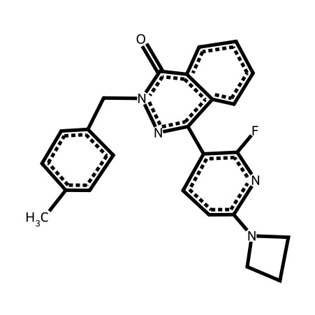 Cc1ccc(Cn2nc(-c3ccc(N4CCC4)nc3F)c3ccccc3c2=O)cc1